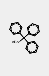 CCCCCCCCCCC(c1ccccc1)(c1ccccc1)c1ccccc1